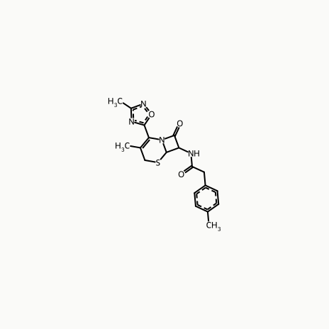 CC1=C(c2nc(C)no2)N2C(=O)C(NC(=O)Cc3ccc(C)cc3)C2SC1